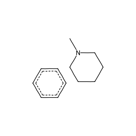 CN1CCCCC1.c1ccccc1